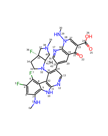 CNc1cc(F)c(F)c2c1[nH]c1ncc(-c3cnc4c(c3)c(=O)c(C(=O)O)cn4NC)c(N3CC[C@@]4(F)CN(C)C[C@@H]34)c12